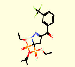 CCOP(=O)(OCC)C1(P(=O)(OCC)OCC)CC(C(=O)c2cccc(C(F)(F)F)c2)=NN1